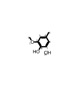 COc1cc(C)ccc1O.Cl